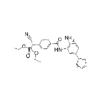 CCOP(=O)(OCC)C(C#N)c1ccc(C(=O)Nc2cc(-c3cccs3)ccc2N)cc1